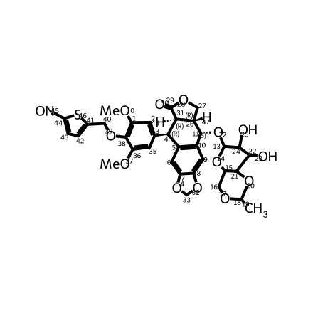 COc1cc([C@@H]2c3cc4c(cc3[C@@H](OC3OC5COC(C)OC5C(O)C3O)[C@H]3COC(=O)[C@H]23)OCO4)cc(OC)c1OCc1ccc(N=O)s1